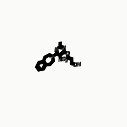 Cc1nc(OCCCO)c([N+](=O)[O-])c(N2CCc3ccccc3CC2)n1